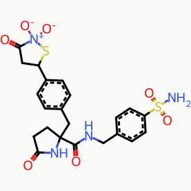 NS(=O)(=O)c1ccc(CNC(=O)C2(Cc3ccc(C4CC(=O)[N+]([O-])([O-])S4)cc3)CCC(=O)N2)cc1